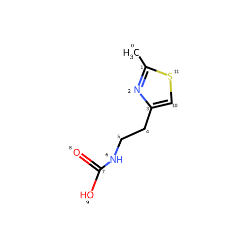 Cc1nc(CCNC(=O)O)cs1